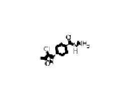 Cc1onc([C@H]2CC[C@H](C(=O)NN)CC2)c1Cl